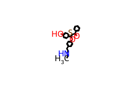 CCNCCc1ccc(Oc2c(C(=O)c3ccccc3)sc3cc(O)ccc23)cc1